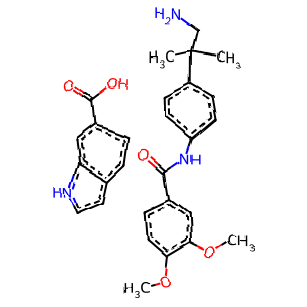 COc1ccc(C(=O)Nc2ccc(C(C)(C)CN)cc2)cc1OC.O=C(O)c1ccc2cc[nH]c2c1